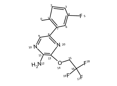 Cc1ccc(F)cc1-c1cnc(N)c(OCC(F)(F)F)n1